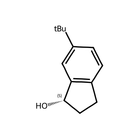 CC(C)(C)c1ccc2c(c1)[C@@H](O)CC2